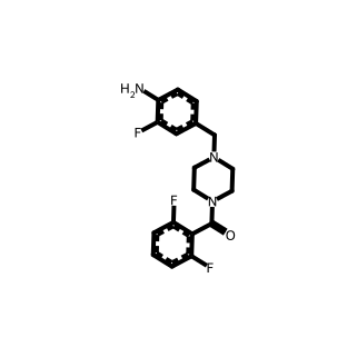 Nc1ccc(CN2CCN(C(=O)c3c(F)cccc3F)CC2)cc1F